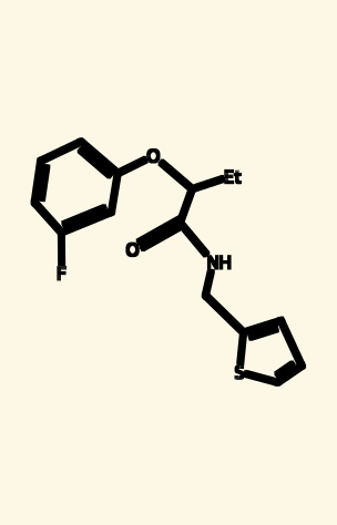 CCC(Oc1cccc(F)c1)C(=O)NCc1cccs1